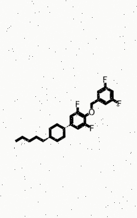 CCCCC[C@H]1CC[C@H](c2cc(F)c(OCc3cc(F)cc(F)c3)c(F)c2)CC1